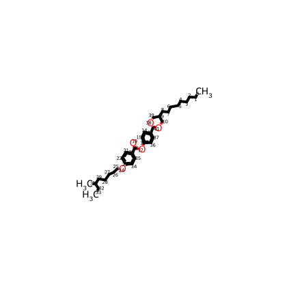 CCCCCCCCCC1COC(c2ccc(OC(=O)c3ccc(OCCCCCC(C)CC)cc3)cc2)OC1